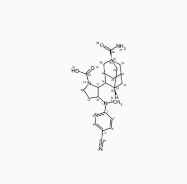 CN(c1ccc(C#N)cn1)C1CCN(C(=O)O)C1C1C2CC3C[C@H]1C[C@@](C(N)=O)(C3)C2